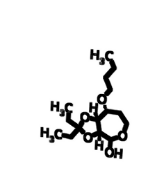 CCCCO[C@@H]1CCOC(O)[C@@H]2OC(CC)(CC)O[C@H]12